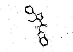 CCc1c(C(=O)Nc2nc3ccccc3s2)cnn1-c1ccccc1